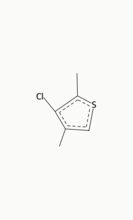 Cc1csc(C)c1Cl